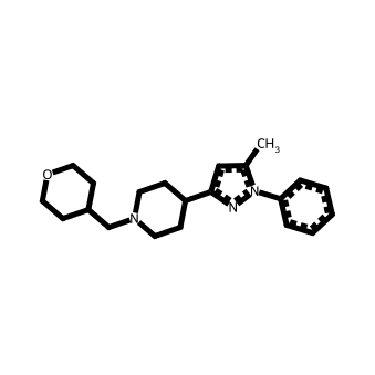 Cc1cc(C2CCN(CC3CCOCC3)CC2)nn1-c1ccccc1